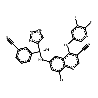 [2H][C@](Nc1cc(Cl)c2ncc(C#N)c(Nc3cnc(F)c(F)c3)c2c1)(c1cccc(C#N)c1)c1c[nH]nn1